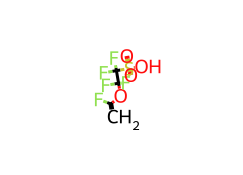 C=C(F)OC(F)(F)C(F)(F)S(=O)(=O)O